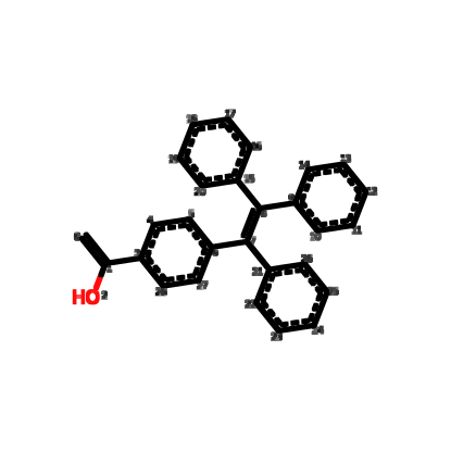 C=C(O)c1ccc(C(=C(c2ccccc2)c2ccccc2)c2ccccc2)cc1